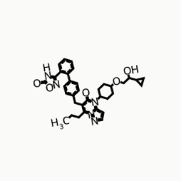 CCCc1c(Cc2ccc(-c3ccccc3-c3noc(=O)[nH]3)cc2)c(=O)n(C2CCC(OCC(O)C3CC3)CC2)c2ccnn12